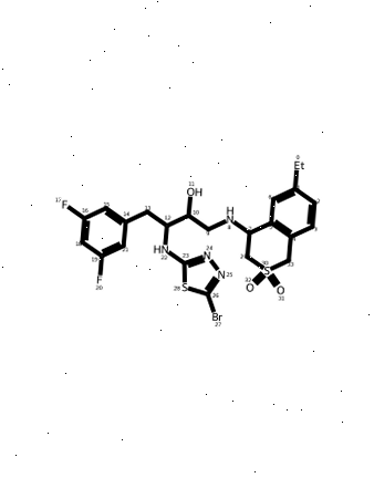 CCc1ccc2c(c1)C(NCC(O)C(Cc1cc(F)cc(F)c1)Nc1nnc(Br)s1)CS(=O)(=O)C2